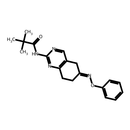 CC(C)(C)C(=O)Nc1ncc2c(n1)CCC(=NOc1ccccc1)C2